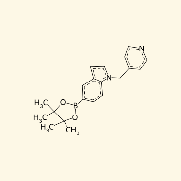 CC1(C)OB(c2ccc3c(ccn3Cc3ccncc3)c2)OC1(C)C